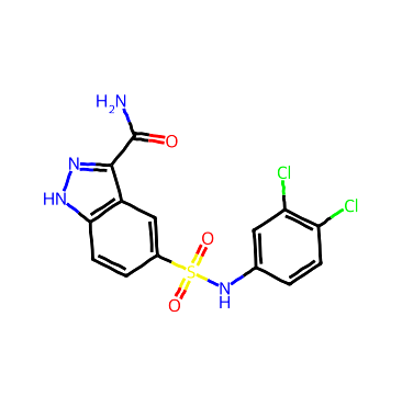 NC(=O)c1n[nH]c2ccc(S(=O)(=O)Nc3ccc(Cl)c(Cl)c3)cc12